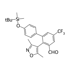 Cc1noc(C)c1-c1c(C=O)cc(C(F)(F)F)cc1-c1ccc(O[Si](C)(C)C(C)(C)C)cc1